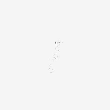 Cc1cc(-c2ccc(S(=O)(=O)NC(C(=O)OC(C)(C)C)C(C)C)cc2)cc(C)c1OC(=O)c1cc2ccccc2o1